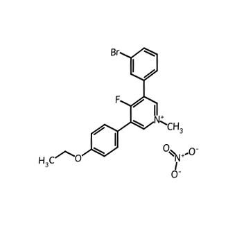 CCOc1ccc(-c2c[n+](C)cc(-c3cccc(Br)c3)c2F)cc1.O=[N+]([O-])[O-]